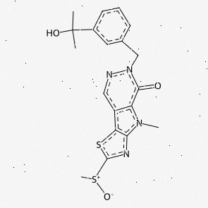 Cn1c2nc([S+](C)[O-])sc2c2cnn(Cc3cccc(C(C)(C)O)c3)c(=O)c21